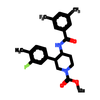 Cc1ccc(C2CN(C(=O)OC(C)(C)C)CCC2NC(=O)c2cc(C(F)(F)F)cc(C(F)(F)F)c2)cc1F